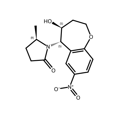 C[C@@H]1CCC(=O)N1[C@H]1c2cc([N+](=O)[O-])ccc2OCC[C@@H]1O